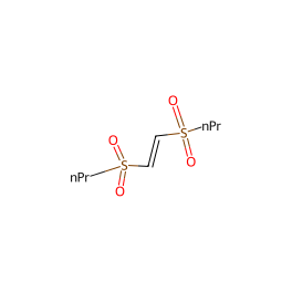 CCCS(=O)(=O)C=CS(=O)(=O)CCC